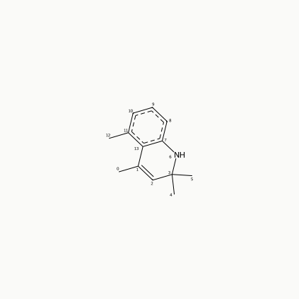 CC1=CC(C)(C)Nc2cccc(C)c21